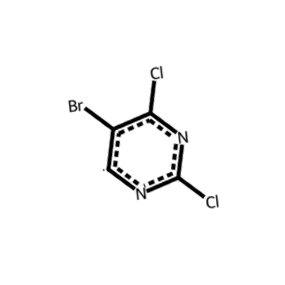 Clc1n[c]c(Br)c(Cl)n1